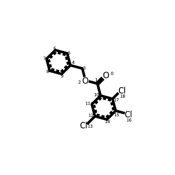 O=C(OCc1ccccc1)c1[c]c(Cl)cc(Cl)c1Cl